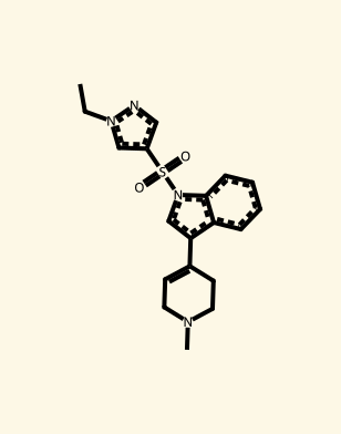 CCn1cc(S(=O)(=O)n2cc(C3=CCN(C)CC3)c3ccccc32)cn1